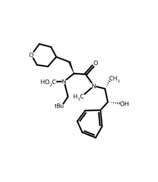 C[C@H]([C@H](O)c1ccccc1)N(C)C(=O)[C@H](CC1CCOCC1)N(CC(C)(C)C)C(=O)O